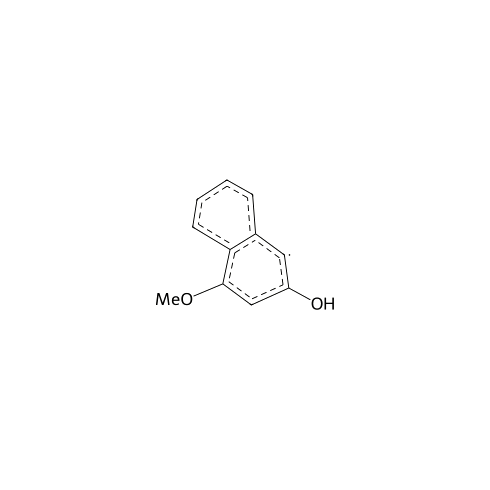 COc1cc(O)[c]c2ccccc12